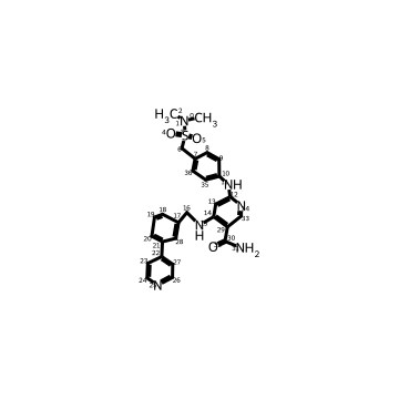 CN(C)S(=O)(=O)Cc1ccc(Nc2cc(NCc3cccc(-c4ccncc4)c3)c(C(N)=O)cn2)cc1